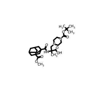 COC(=O)C12CC3CC(CC(C(=O)NC(C)(CN4CCN(C(=O)OC(C)(C)C)CC4)C(=O)O)(C3)C1)C2